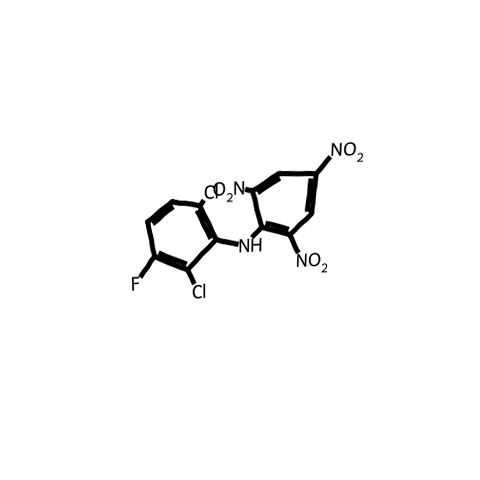 O=[N+]([O-])c1cc([N+](=O)[O-])c(Nc2c(Cl)ccc(F)c2Cl)c([N+](=O)[O-])c1